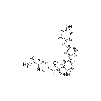 CN(C)c1ccc(NC(=O)c2n[nH]c3ccc(-c4cncc(CN5CCC(O)CC5)c4)cc23)cn1